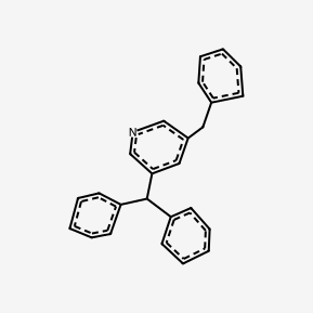 c1ccc(Cc2cncc(C(c3ccccc3)c3ccccc3)c2)cc1